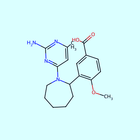 COc1ccc(C(=O)O)cc1C1CCCCCN1c1cc(C)nc(N)n1